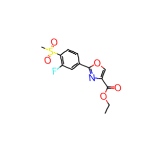 CCOC(=O)c1coc(-c2ccc(S(C)(=O)=O)c(F)c2)n1